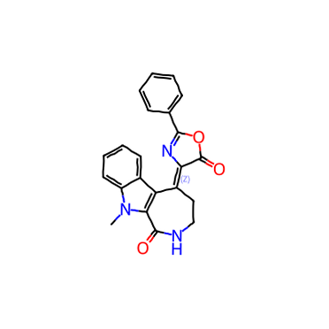 Cn1c2c(c3ccccc31)/C(=C1\N=C(c3ccccc3)OC1=O)CCNC2=O